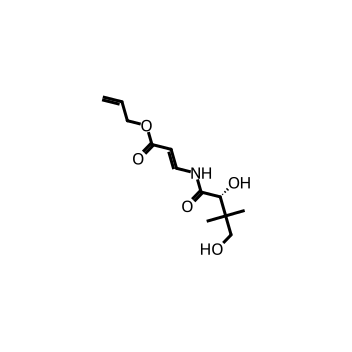 C=CCOC(=O)/C=C/NC(=O)[C@H](O)C(C)(C)CO